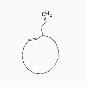 C=CCC1/C=C/CCCCCCCCCCCC1